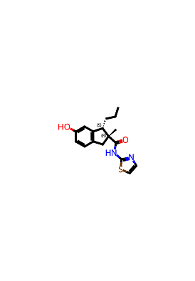 CCC[C@H]1c2cc(O)ccc2C[C@@]1(C)C(=O)Nc1nccs1